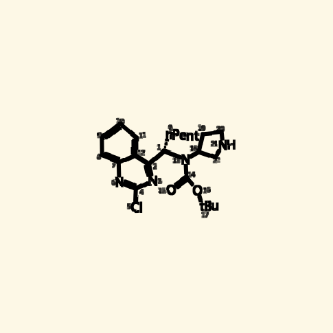 CCCCC[C@@H](c1nc(Cl)nc2ccccc12)N(C(=O)OC(C)(C)C)C1CCNC1